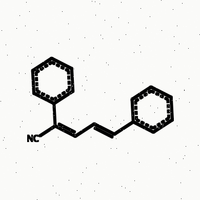 N#CC(=CC=Cc1ccccc1)c1ccccc1